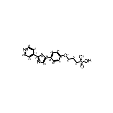 O=S(=O)(O)CCCOc1ccc(-c2cnc(-c3ccncc3)s2)cc1